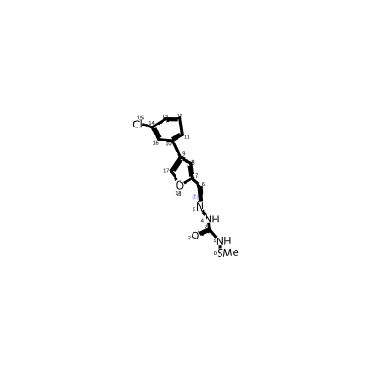 CSNC(=O)N/N=C/c1cc(-c2cccc(Cl)c2)co1